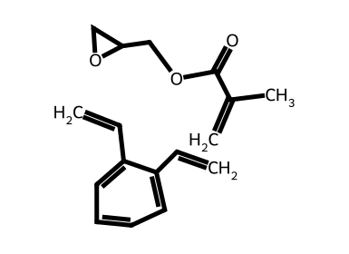 C=C(C)C(=O)OCC1CO1.C=Cc1ccccc1C=C